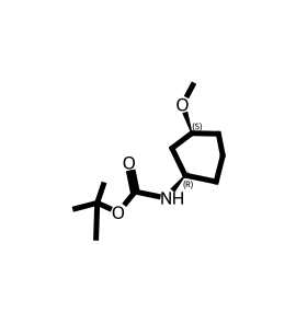 CO[C@H]1CCC[C@@H](NC(=O)OC(C)(C)C)C1